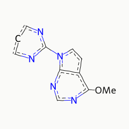 COc1ncnc2c1ccn2-c1ncccn1